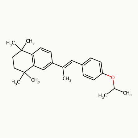 C/C(=C\c1ccc(OC(C)C)cc1)c1ccc2c(c1)C(C)(C)CCC2(C)C